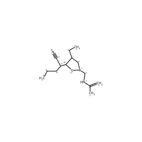 C=C(C)NCB1CC(CC)C(C(C#N)CCC)O1